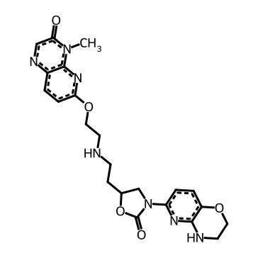 Cn1c(=O)cnc2ccc(OCCNCCC3CN(c4ccc5c(n4)NCCO5)C(=O)O3)nc21